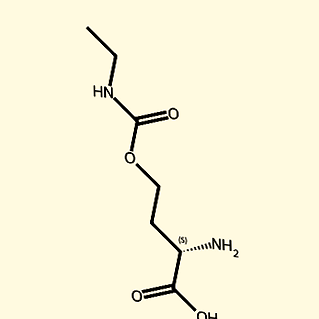 CCNC(=O)OCC[C@H](N)C(=O)O